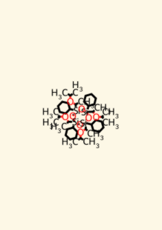 CC(C)OC(C)[Si]1(C2CCCCC2)O[Si](C2CCCCC2)(C(C)OC(C)C)O[Si](C2CCCCC2)(C(C)OC(C)C)O[Si](C2CCCCC2)(C(C)OC(C)C)O1